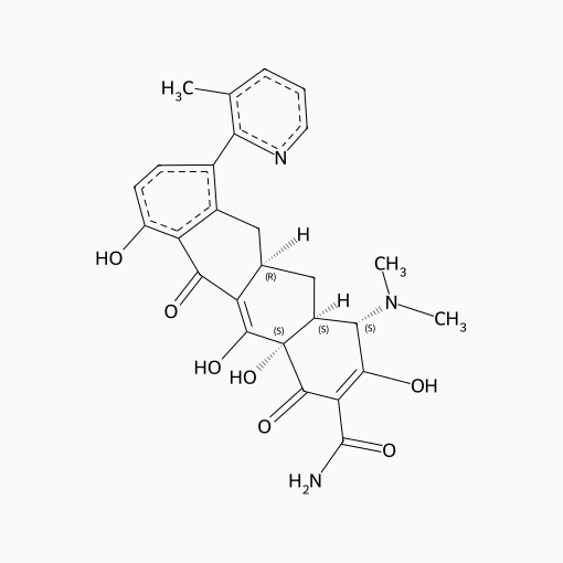 Cc1cccnc1-c1ccc(O)c2c1C[C@H]1C[C@H]3[C@H](N(C)C)C(O)=C(C(N)=O)C(=O)[C@@]3(O)C(O)=C1C2=O